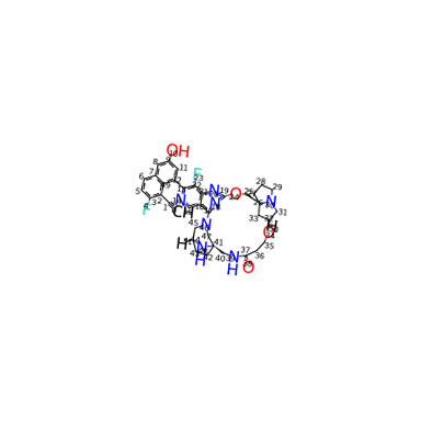 C#Cc1c(F)ccc2cc(O)cc(-c3ncc4c5nc(nc4c3F)OC[C@@]34CCCN3C[C@H](C4)OCCC(=O)NC[C@]34CC[C@H](CN5C3)N4)c12